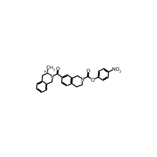 C[C@@H]1Cc2ccccc2CN1C(=O)c1ccc2c(c1)CN(C(=O)Oc1ccc([N+](=O)[O-])cc1)CC2